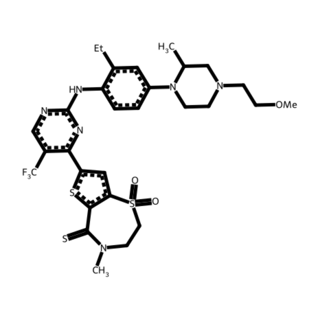 CCc1cc(N2CCN(CCOC)CC2C)ccc1Nc1ncc(C(F)(F)F)c(-c2cc3c(s2)C(=S)N(C)CCS3(=O)=O)n1